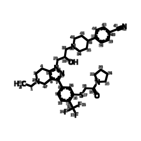 CCN1CCc2c(c(-c3ccc(C(F)(F)F)c(SCC(=O)N4CCCC4)c3)nn2CC(O)CN2CCC(c3ccc(C#N)cc3)CC2)C1